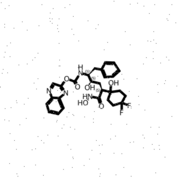 O=C(N[C@@H](Cc1ccccc1)[C@@H](O)C[C@H](C(=O)NO)C1(O)CCC(F)(F)CC1)Oc1cnc2ccccc2n1